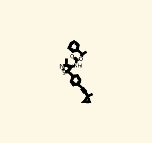 Cc1nsc(-c2ccc(C#CC3(C)CC3)cc2)c1NC(=O)OC(C)c1ccccc1